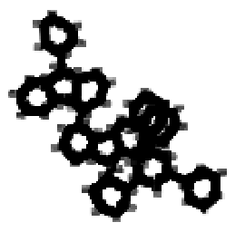 c1ccc(-c2nc(-c3ccccc3)nc(-c3ccccc3-n3c4cc5ccccc5cc4c4c(-c5cccc6c5c5ccccc5n6-c5ccccc5)cccc43)n2)cc1